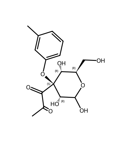 CC(=O)C(=O)[C@]1(Oc2cccc(C)c2)[C@H](O)[C@@H](CO)OC(O)[C@@H]1O